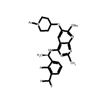 COc1nc2nc(C)nc(N[C@H](C)c3cccc(C(F)F)c3F)c2cc1OC1CCN(C(C)=O)CC1